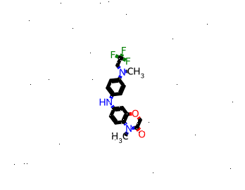 CN(CC(F)(F)F)c1ccc(Nc2ccc3c(c2)OCC(=O)N3C)cc1